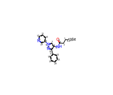 CSCCC(=O)Nc1cn(-c2cccnc2)nc1-c1ccccc1